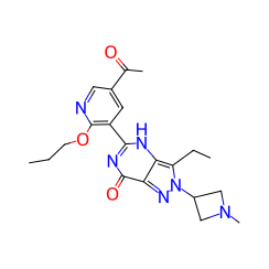 CCCOc1ncc(C(C)=O)cc1-c1nc(=O)c2nn(C3CN(C)C3)c(CC)c2[nH]1